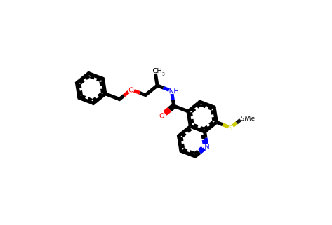 CSSc1ccc(C(=O)NC(C)COCc2ccccc2)c2cccnc12